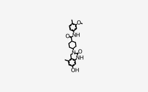 COc1cc(NC(=O)C2CCC(N3Cc4c(C)cc(O)cc4NC3=O)CC2)ccc1C